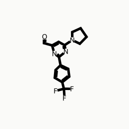 O=Cc1cc(N2CCCC2)nc(-c2ccc(C(F)(F)F)cc2)n1